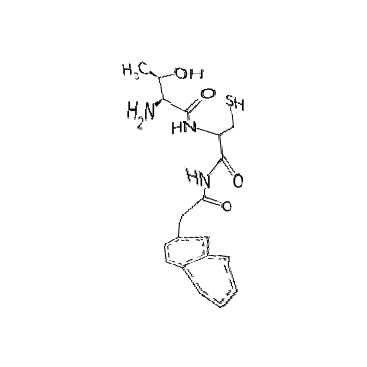 C[C@@H](O)[C@H](N)C(=O)NC(CS)C(=O)NC(=O)Cc1ccc2ccccc2c1